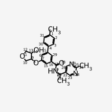 Cc1ccc(-c2cc(OC3COCC3O)cc(C(=O)N[C@H](C)c3cnc(C)nc3)c2)cc1